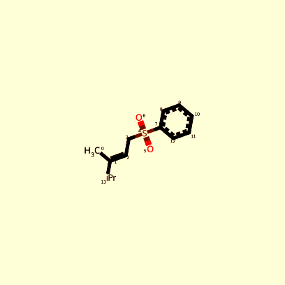 CC(=CCS(=O)(=O)c1ccccc1)C(C)C